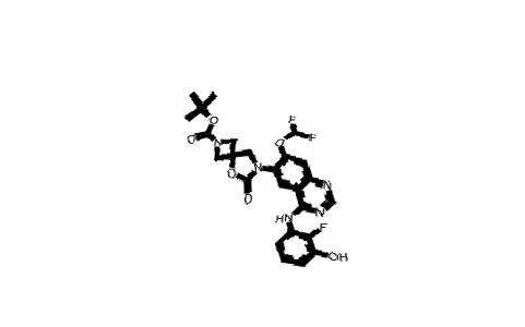 CC(C)(C)OC(=O)N1CC2(C1)CN(c1cc3c(Nc4cccc(O)c4F)ncnc3cc1OC(F)F)C(=O)O2